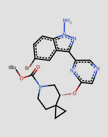 CC(C)(C)OC(=O)N1CCC2(CC2)[C@@H](Oc2cncc(-c3nn(N)c4ccc(Br)cc34)n2)C1